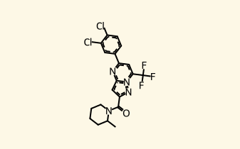 CC1CCCCN1C(=O)c1cc2nc(-c3ccc(Cl)c(Cl)c3)cc(C(F)(F)F)n2n1